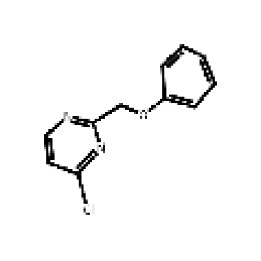 Clc1ccnc(COc2ccccc2)n1